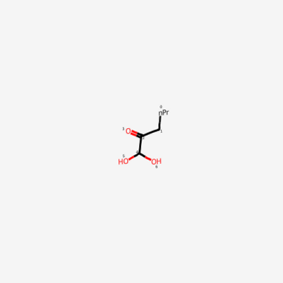 CCCCC(=O)C(O)O